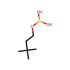 CC(C)(C)CCOP(O)O